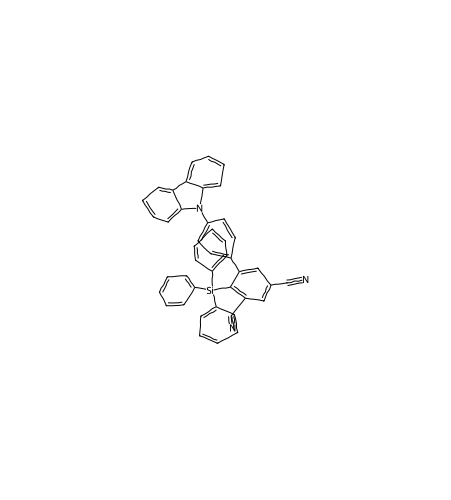 N#Cc1cc(C#N)c([Si](c2ccccc2)(c2ccccc2)c2ccccc2)c(-c2ccc(-n3c4ccccc4c4ccccc43)cc2)c1